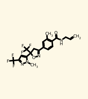 C=CCNC(=O)c1ccc(C2=NOC(c3cc(C(F)(F)F)nn3C)(C(F)(F)F)C2)cc1C